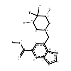 COC(=O)c1cc(CN2C[C@@H](C)C(F)(F)[C@@H](C)C2)c2[nH]ccc2n1